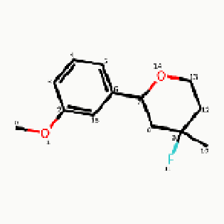 COc1cccc(C2CC(C)(F)CCO2)c1